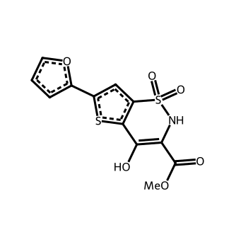 COC(=O)C1=C(O)c2sc(-c3ccco3)cc2S(=O)(=O)N1